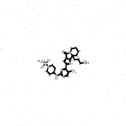 CS(=O)(=O)N1CCC(Nc2ncc(C(F)(F)F)c(-c3cc4c(s3)C3(CCCO)CCCCN3C4=O)n2)CC1